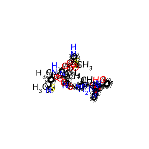 Cc1ncsc1-c1ccc([C@H](C)NC(=O)[C@@H]2C[C@@H](OC(=O)OCC3(SS(C)(=O)=O)CCNCC3)CN2C(=O)C(c2cc(OCCN3CCN(CCOc4cc(N5C6CCC5CN(c5cc(-c7ccccc7O)nnc5N)C6)ccn4)[C@H](C)C3)no2)C(C)C)cc1